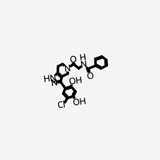 O=C(NCC(=O)N1CCc2[nH]nc(-c3cc(Cl)c(O)cc3O)c2C1)c1ccccc1